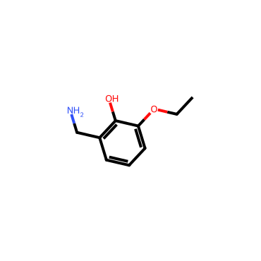 CCOc1cccc(CN)c1O